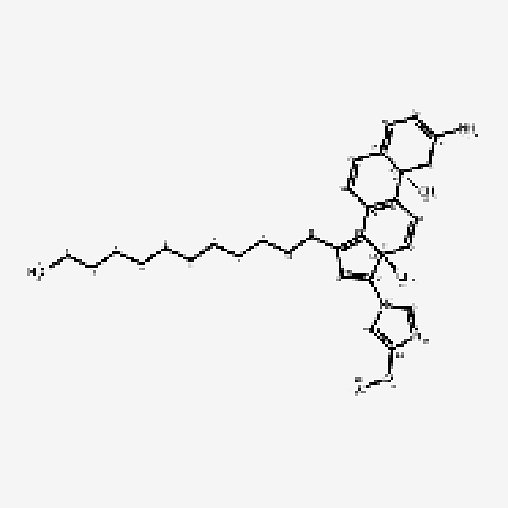 CCCCCCCCCCCCC1=C2C3=C(C=C[C@]2(C)C(n2cnc(OC)c2)=C1)[C@]1(C)CC(N)=CC=C1C=C3